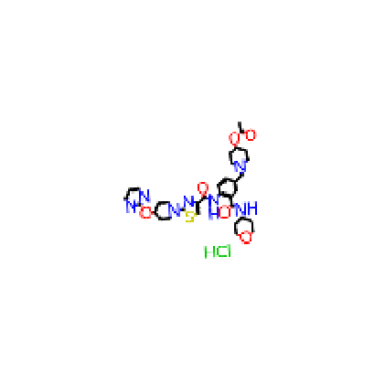 CC(=O)OC1CCN(Cc2ccc(NC(=O)c3csc(N4CCC(Oc5ncccn5)CC4)n3)c(C(=O)NC3CCOCC3)c2)CC1.Cl